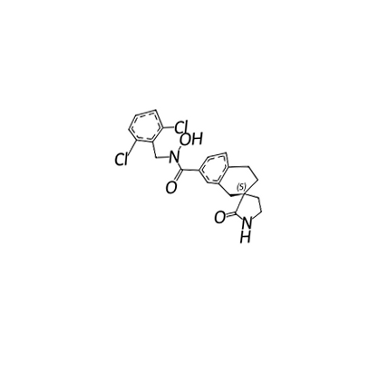 O=C(c1ccc2c(c1)C[C@]1(CCNC1=O)CC2)N(O)Cc1c(Cl)cccc1Cl